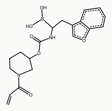 C=CC(=O)N1CCCC(OC(=O)NC(Cc2coc3ccccc23)B(O)O)C1